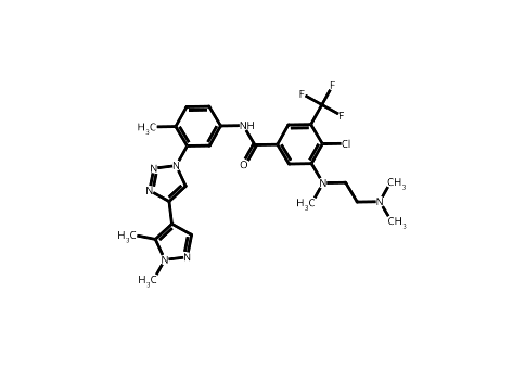 Cc1ccc(NC(=O)c2cc(N(C)CCN(C)C)c(Cl)c(C(F)(F)F)c2)cc1-n1cc(-c2cnn(C)c2C)nn1